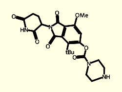 COc1cc(OC(=O)N2CCNCC2)c(C(C)(C)C)c2c1C(=O)N(C1CCC(=O)NC1=O)C2=O